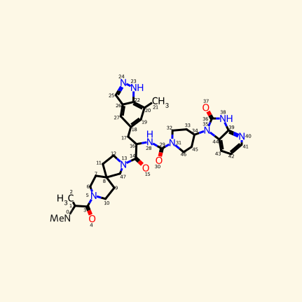 CNC(C)C(=O)N1CCC2(CC1)CCN(C(=O)C(Cc1cc(C)c3[nH]ncc3c1)NC(=O)N1CCC(n3c(=O)[nH]c4ncccc43)CC1)C2